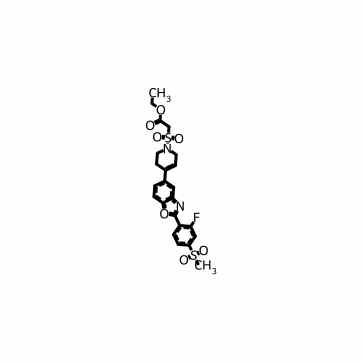 CCOC(=O)CS(=O)(=O)N1CC=C(c2ccc3oc(-c4ccc(S(C)(=O)=O)cc4F)nc3c2)CC1